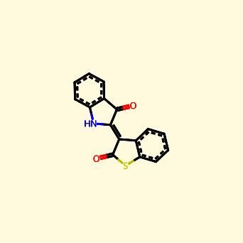 O=C1Sc2ccccc2/C1=C1/Nc2ccccc2C1=O